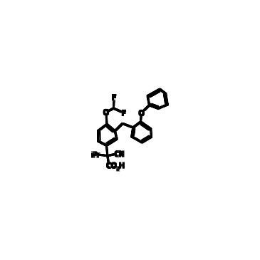 CC(C)C(C#N)(C(=O)O)c1ccc(OC(F)F)c(Cc2ccccc2Oc2ccccc2)c1